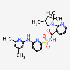 Cc1cc(C)nc(Nc2cccc(S(=O)(=O)NC(=O)c3cccnc3N3CC(C)CC3(C)C)n2)c1